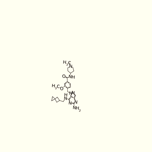 COc1cc(C(=O)NC2CCN(C)CC2)ccc1Cn1ncc2nc(N)nc(NCC3CC4(CC4)C3)c21